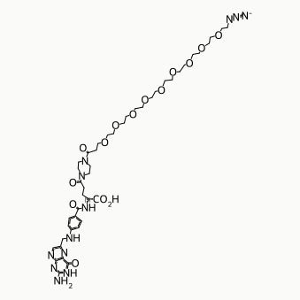 [N-]=[N+]=NCCOCCOCCOCCOCCOCCOCCOCCOCCOCCC(=O)N1CCN(C(=O)CC[C@H](NC(=O)c2ccc(NCc3cnc4nc(N)[nH]c(=O)c4n3)cc2)C(=O)O)CC1